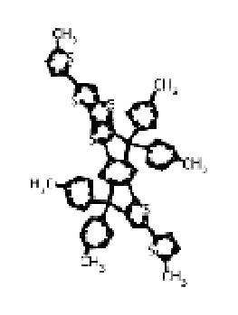 Cc1ccc(C2(c3ccc(C)cc3)c3cc4c(cc3-c3sc(-c5ccc(C)s5)cc32)C(c2ccc(C)cc2)(c2ccc(C)cc2)c2c-4sc3c2sc2cc(-c4ccc(C)s4)sc23)cc1